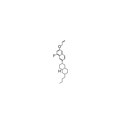 C=CCOc1cc(F)c2cc([C@@H]3CC[C@@H]4CC(CCCC)CCC4C3)ccc2c1